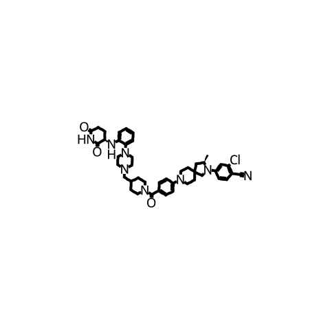 C[C@@H]1CC2(CCN(c3ccc(C(=O)N4CCC(CN5CCN(c6ccccc6N[C@@H]6CCC(=O)NC6=O)CC5)CC4)cc3)CC2)CN1c1ccc(C#N)c(Cl)c1